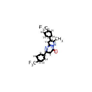 Cc1nn2c(=O)cc(-c3ccc(C(F)(F)F)cc3)nc2cc1-c1ccc(C(F)(F)F)cc1